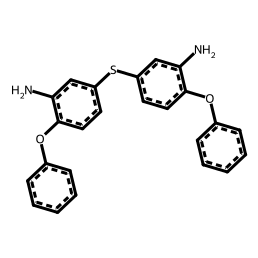 Nc1cc(Sc2ccc(Oc3ccccc3)c(N)c2)ccc1Oc1ccccc1